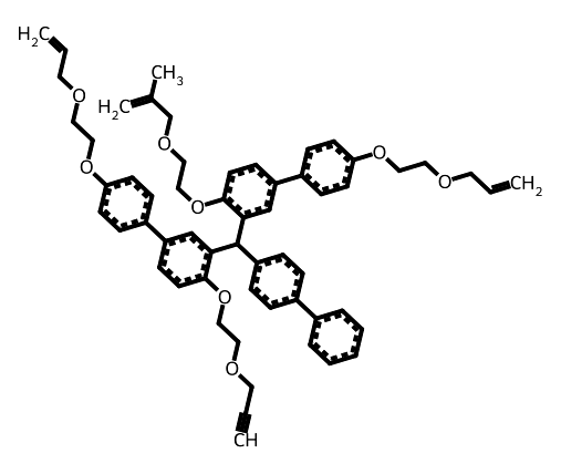 C#CCOCCOc1ccc(-c2ccc(OCCOCC=C)cc2)cc1C(c1ccc(-c2ccccc2)cc1)c1cc(-c2ccc(OCCOCC=C)cc2)ccc1OCCOCC(=C)C